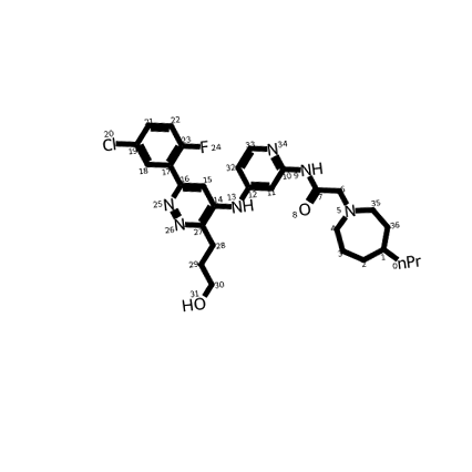 CCCC1CCCN(CC(=O)Nc2cc(Nc3cc(-c4cc(Cl)ccc4F)nnc3CCCO)ccn2)CC1